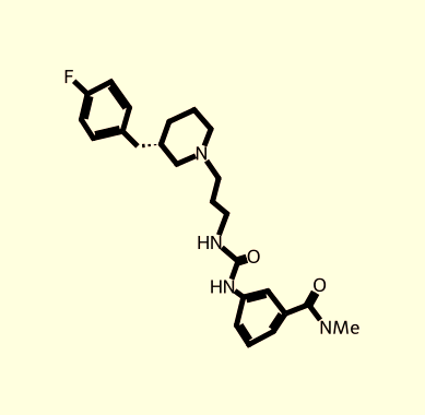 CNC(=O)c1cccc(NC(=O)NCCCN2CCC[C@@H](Cc3ccc(F)cc3)C2)c1